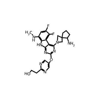 CNc1cc(F)c(F)c2c1[nH]c1nc(Oc3cnc(CCO)nc3)nc(N3CC4(CCCC4N)C3)c12